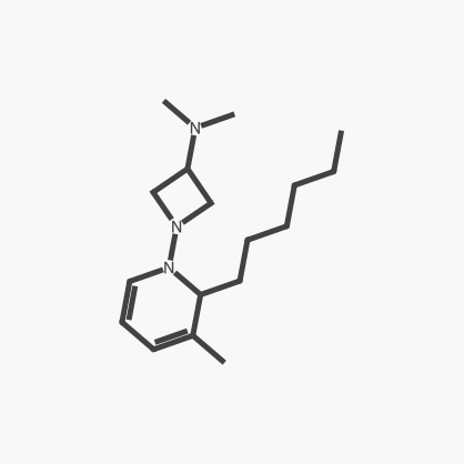 CCCCCCC1C(C)=CC=CN1N1CC(N(C)C)C1